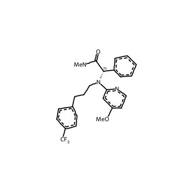 CNC(=O)[C@H](c1ccccc1)N(CCCc1ccc(C(F)(F)F)cc1)c1cc(OC)ccn1